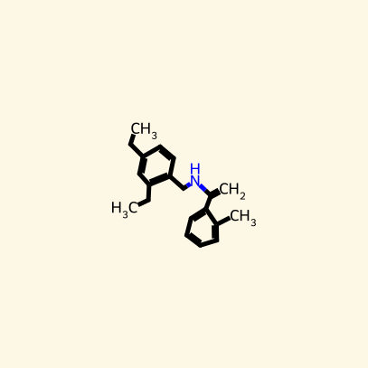 C=C(NCc1ccc(CC)cc1CC)c1ccccc1C